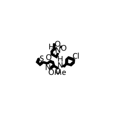 COc1nc(-c2cccs2)c(O[C@H]2CCN3C(=O)OC[C@@H]3C2)cc1C(=O)NCc1ccc(Cl)cc1